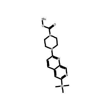 CC(C)(C)OC(=O)N1CCN(c2ccc3c[c]([Sn]([CH3])([CH3])[CH3])ncc3n2)CC1